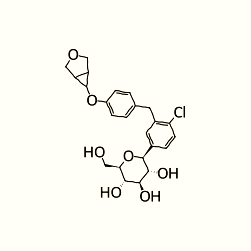 OC[C@H]1O[C@@H](c2ccc(Cl)c(Cc3ccc(OC4C5COCC54)cc3)c2)[C@H](O)[C@@H](O)[C@@H]1O